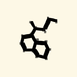 C/C=N/[C@H](C)c1cccc2ccccc12